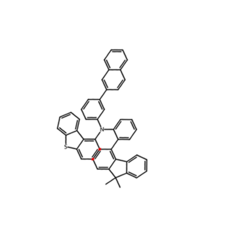 CC1(C)c2ccccc2-c2c(-c3ccccc3N(c3cccc(-c4ccc5ccccc5c4)c3)c3cccc4sc5ccccc5c34)cccc21